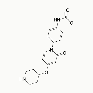 O=c1cc(OC2CCNCC2)ccn1-c1ccc(N[SH](=O)=O)cc1